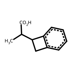 CC(C(=O)O)C1Cc2ccccc21